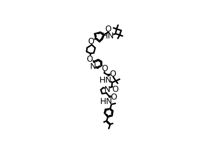 CC(C)=C(C)c1ccc(C(C)NC(=O)C2CCCN2C(=O)C(NC(=O)COc2ccc(OC3CCC(Oc4ccc(C(=O)NC5C(C)(C)CC5(C)C)cc4)CC3)nc2)C(C)(C)C)cc1